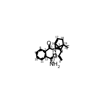 C=CCC1(NC(=O)c2ccccc2C(N)=O)C2=CCC1(F)C=C2